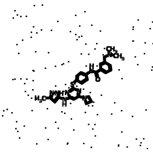 Cc1cc(Nc2cc(N3CCC3)nc(Sc3ccc(NC(=O)c4cccc(CN(C)C)c4)cc3)n2)[nH]n1